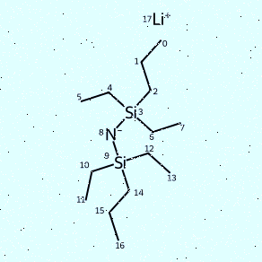 CCC[Si](CC)(CC)[N-][Si](CC)(CC)CCC.[Li+]